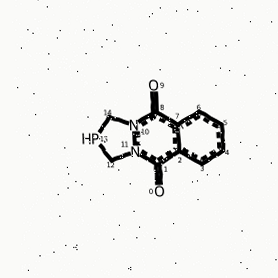 O=c1c2ccccc2c(=O)n2n1CPC2